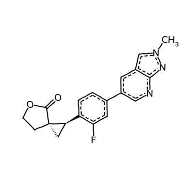 Cn1cc2cc(-c3ccc([C@H]4C[C@@]45CCOC5=O)c(F)c3)cnc2n1